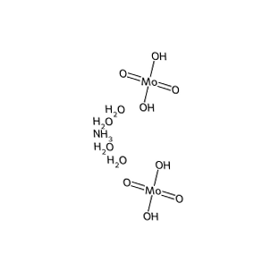 N.O.O.O.O.[O]=[Mo](=[O])([OH])[OH].[O]=[Mo](=[O])([OH])[OH]